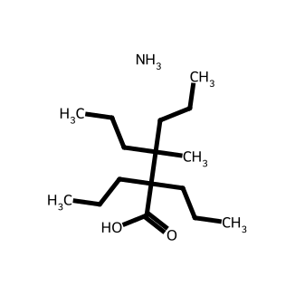 CCCC(C)(CCC)C(CCC)(CCC)C(=O)O.N